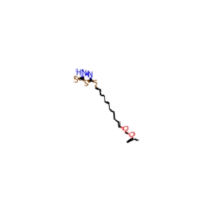 C=C(C)OCOCCCCCCCCCCCSc1n[nH]c(=S)s1